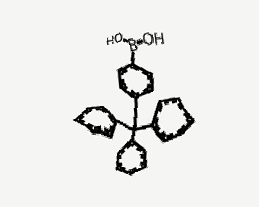 OB(O)c1ccc(C(c2ccccc2)(c2ccccc2)c2ccccc2)cc1